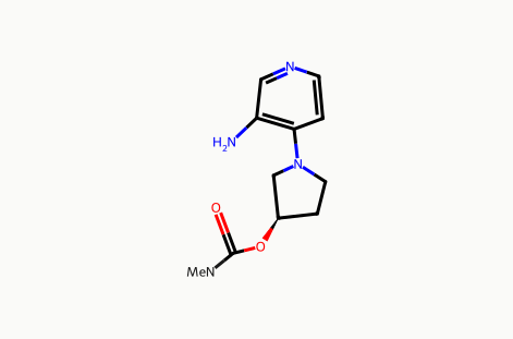 CNC(=O)O[C@@H]1CCN(c2ccncc2N)C1